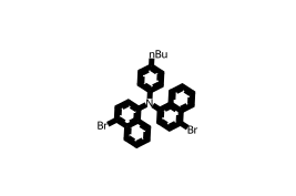 CCCCc1ccc(N(c2ccc(Br)c3ccccc23)c2ccc(Br)c3ccccc23)cc1